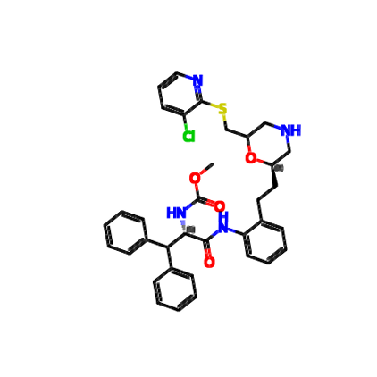 COC(=O)N[C@H](C(=O)Nc1ccccc1CC[C@@H]1CNCC(CSc2ncccc2Cl)O1)C(c1ccccc1)c1ccccc1